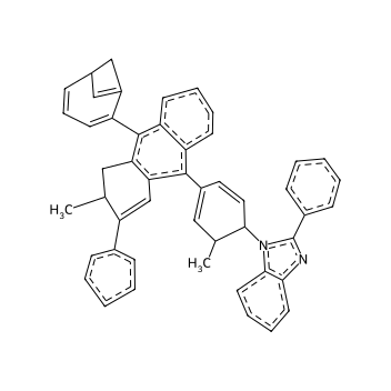 CC1Cc2c(c(C3=CC(C)C(n4c(-c5ccccc5)nc5ccccc54)C=C3)c3ccccc3c2C2=CC=CC3C=C2C3)C=C1c1ccccc1